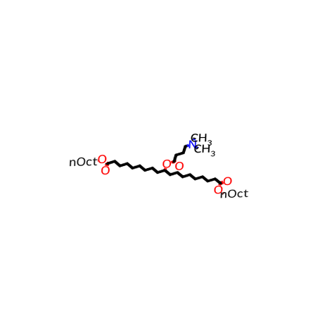 CCCCCCCCOC(=O)CCCCCCCCC(CCCCCCCCC(=O)OCCCCCCCC)OC(=O)CCCN(C)C